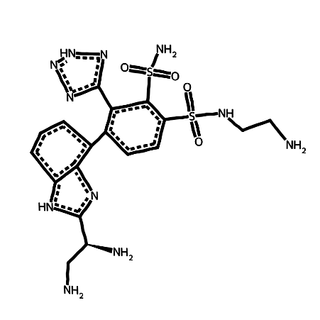 NCCNS(=O)(=O)c1ccc(-c2cccc3[nH]c([C@@H](N)CN)nc23)c(-c2nn[nH]n2)c1S(N)(=O)=O